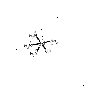 [NH2][Pd]([NH2])([NH2])([NH2])[OH]